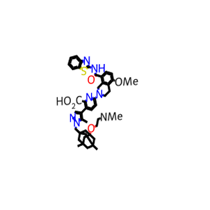 CNCCOC12CC3(C)CC(C)(CC(Cn4ncc(-c5ccc(N6CCc7c(OC)ccc(C(=O)Nc8nc9ccccc9s8)c7C6)nc5C(=O)O)c4C)(C3)C1)C2